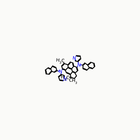 Cc1cc(N(c2cccnc2)c2ccc3ccccc3c2)c2cc3c4c(cc(N(c5cccnc5)c5ccc6ccccc6c5)c5ccc1c2c54)CCC3(C)C